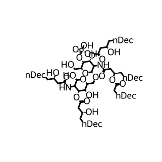 CCCCCCCCCCCC(=O)O[C@H](CCCCCCCCCCC)CC(=O)NC1[C@H](OCC2OC(O)C(NC(=O)C[C@H](O)CCCCCCCCCCC)[C@@H](OC(=O)C[C@H](O)CCCCCCCCCCC)[C@@H]2O)OC(CO)[C@@H](OP(=O)(O)O)[C@@H]1OC(=O)C[C@H](O)CCCCCCCCCCC